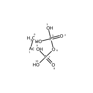 CC(C)=O.O=P(O)(O)OP(=O)(O)O